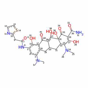 CN(C)c1cc(NC(=O)Cc2nccs2)c(O)c2c1CC1CC3C(N(C)C)C(O)=C(C(N)=O)C(=O)C3(O)C(O)=C1C2=O